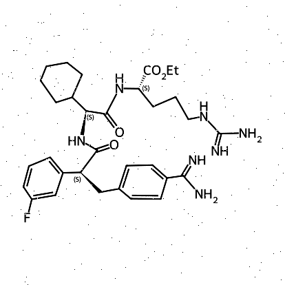 CCOC(=O)[C@H](CCCNC(=N)N)NC(=O)[C@@H](NC(=O)[C@@H](Cc1ccc(C(=N)N)cc1)c1cccc(F)c1)C1CCCCC1